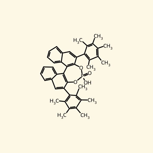 Cc1c(C)c(C)c(-c2cc3ccccc3c3c2OP(=O)(O)Oc2c(-c4c(C)c(C)c(C)c(C)c4C)cc4ccccc4c2-3)c(C)c1C